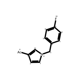 CC(=O)c1ccn(Cc2ccc(F)cc2)c1